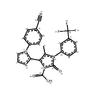 Cc1c(-c2nccn2-c2ccc(C#N)cc2)n(C(=O)O)c(=O)n1-c1cccc(C(F)(F)F)c1